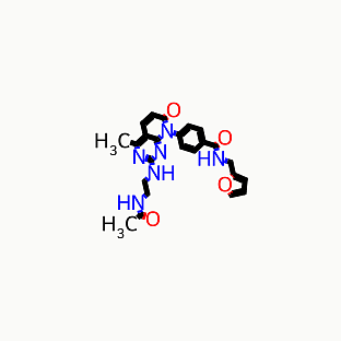 CC(=O)NCCNc1nc(C)c2ccc(=O)n(-c3ccc(C(=O)NCc4ccco4)cc3)c2n1